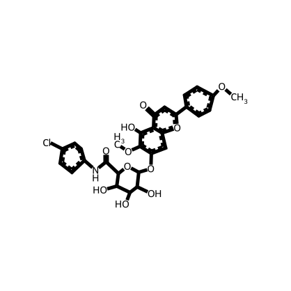 COc1ccc(-c2cc(=O)c3c(O)c(OC)c(OC4OC(C(=O)Nc5ccc(Cl)cc5)C(O)C(O)C4O)cc3o2)cc1